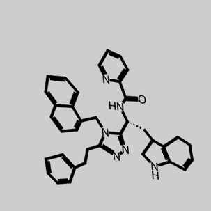 O=C(N[C@H](CC1CNC2=C1CCC=C2)c1nnc(CCc2ccccc2)n1Cc1cccc2ccccc12)c1ccccn1